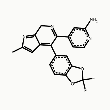 CC1=CC2=C(c3ccc4c(c3)OC(F)(F)O4)C(c3ccnc(N)c3)=NCC2=N1